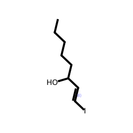 CCCCCC(O)/C=C/I